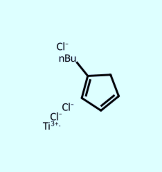 CCCCC1=CC=CC1.[Cl-].[Cl-].[Cl-].[Ti+3]